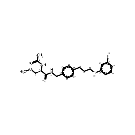 COC[C@@H](NC(C)=O)C(=O)NCc1ccc(CCCOc2cccc(F)c2)cc1